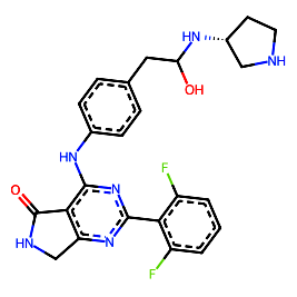 O=C1NCc2nc(-c3c(F)cccc3F)nc(Nc3ccc(CC(O)N[C@@H]4CCNC4)cc3)c21